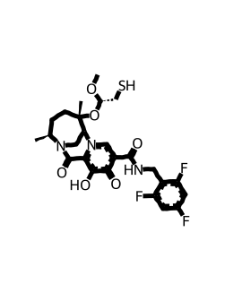 CO[C@H](CS)O[C@@]1(C)CC[C@H](C)N2CC1n1cc(C(=O)NCc3c(F)cc(F)cc3F)c(=O)c(O)c1C2=O